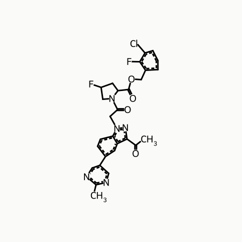 CC(=O)c1nn(CC(=O)N2CC(F)CC2C(=O)OCc2cccc(Cl)c2F)c2ccc(-c3cnc(C)nc3)cc12